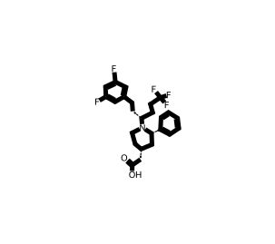 O=C(O)C[C@@H]1CCN([C@H](CCc2cc(F)cc(F)c2)CCC(F)(F)F)[C@H](c2ccccc2)C1